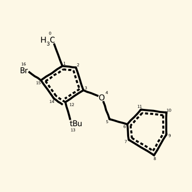 Cc1cc(OCc2ccccc2)c(C(C)(C)C)cc1Br